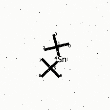 C[C](C)(C)[Sn][C](C)(C)C